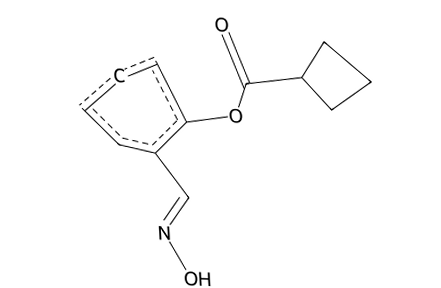 O=C(Oc1ccccc1C=NO)C1CCC1